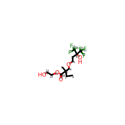 CCC(C)(COCCC(O)(C(F)(F)F)C(F)(F)F)C(=O)OCCO